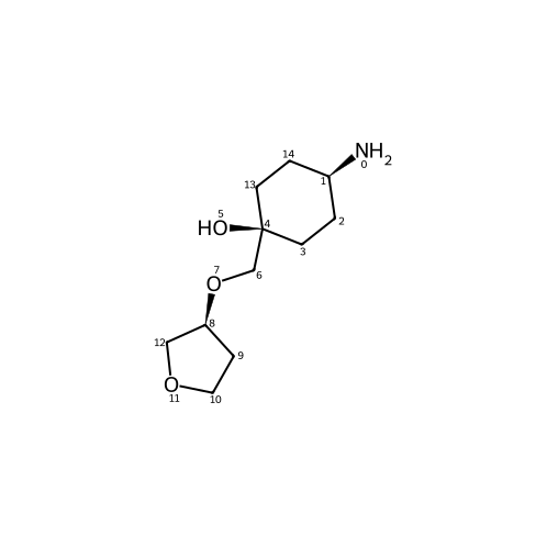 N[C@H]1CC[C@](O)(CO[C@H]2CCOC2)CC1